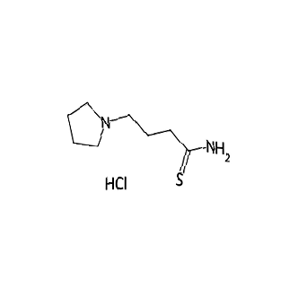 Cl.NC(=S)CCCN1CCCC1